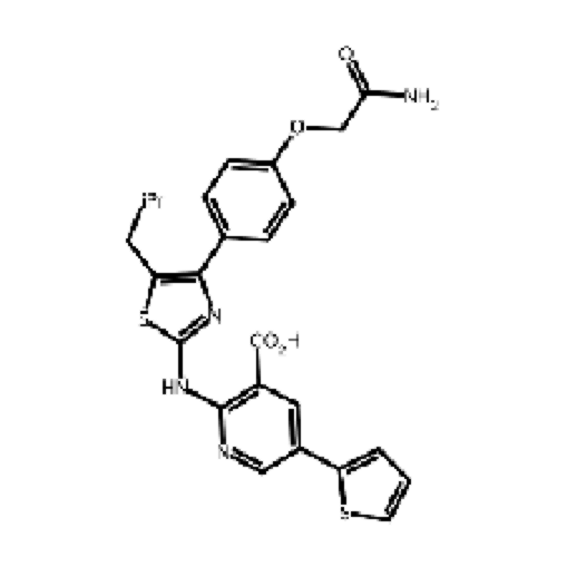 CC(C)Cc1sc(Nc2ncc(-c3cccs3)cc2C(=O)O)nc1-c1ccc(OCC(N)=O)cc1